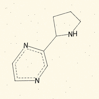 c1cnc(C2CCCN2)cn1